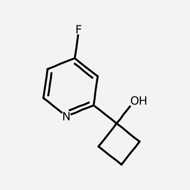 OC1(c2cc(F)ccn2)CCC1